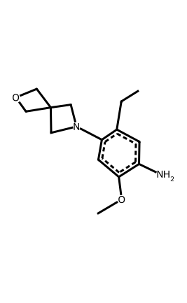 CCc1cc(N)c(OC)cc1N1CC2(COC2)C1